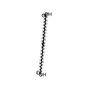 O=C(O)CCCCCCCCCCCCCCCCCSCCCCCCCCCCCCCCCCCC(=O)O